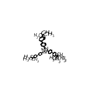 CC1CC(c2ccc(-c3nc(-c4ccc(-c5ccc(C(C)(C)C)cc5)cc4)nc(-c4ccc(-c5ccc(C(C)(C)C)cc5)cc4)n3)cc2)=CC=C1C(C)(C)C